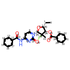 CC[C@H]1O[C@@H](n2ccc(NC(=O)c3ccccc3)nc2=O)C(C)(F)[C@H]1OC(=O)c1ccccc1